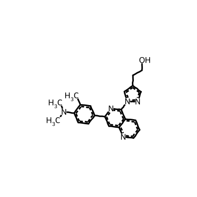 Cc1cc(-c2cc3ncccc3c(-n3cc(CCO)cn3)n2)ccc1N(C)C